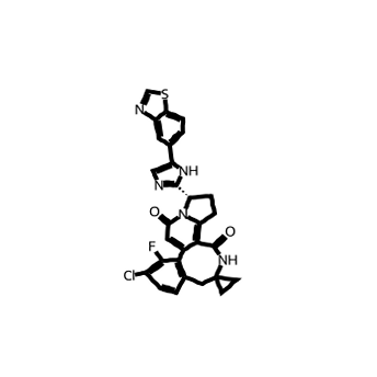 O=C1NC2(CC2)Cc2ccc(Cl)c(F)c2-c2cc(=O)n3c(c21)CC[C@H]3c1ncc(-c2ccc3scnc3c2)[nH]1